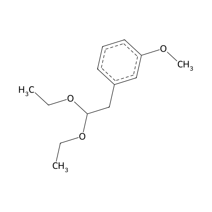 CCOC(Cc1cccc(OC)c1)OCC